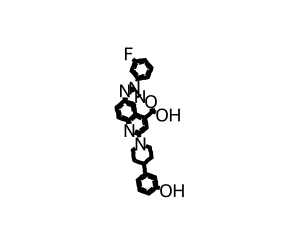 O=C(O)c1cc(N2CCC(c3cccc(O)c3)CC2)nc2ccc3nn(-c4cccc(F)c4)nc3c12